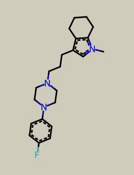 Cn1cc(CCCN2CCN(c3ccc(F)cc3)CC2)c2c1CCCC2